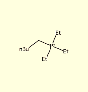 CCCCC[P+](CC)(CC)CC